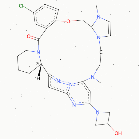 CN1CCN2C=CN(C)C2COc2ccc(Cl)cc2C(=O)N2CCCC[C@H]2c2cc3nc(N4CC(O)C4)cc1n3n2